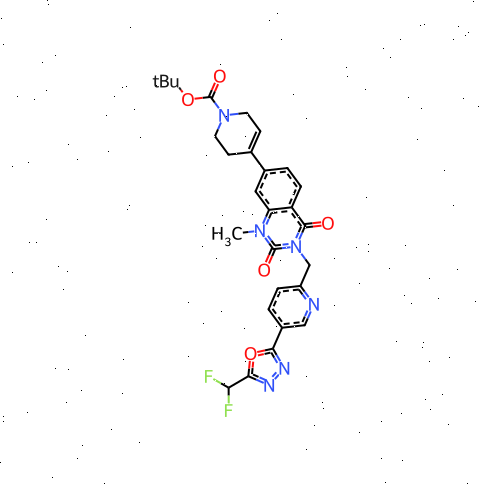 Cn1c(=O)n(Cc2ccc(-c3nnc(C(F)F)o3)cn2)c(=O)c2ccc(C3=CCN(C(=O)OC(C)(C)C)CC3)cc21